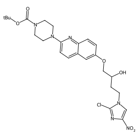 CC(C)(C)OC(=O)N1CCN(c2ccc3cc(OCC(O)CCn4cc([N+](=O)[O-])nc4Cl)ccc3n2)CC1